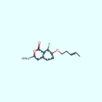 C/C=C/CCOc1ccc2cc(CCCCCC)oc(=O)c2c1F